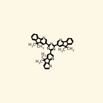 CC1(C)c2ccccc2-c2ncc(-c3nc(-c4cnc5c(c4)C(C)(C)c4ccccc4-5)nc(-c4cnc5c(c4)C(C)(C)c4cccnc4-5)n3)cc21